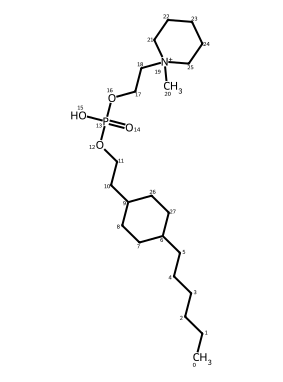 CCCCCCC1CCC(CCOP(=O)(O)OCC[N+]2(C)CCCCC2)CC1